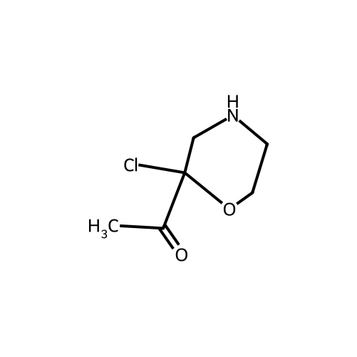 CC(=O)C1(Cl)CNCCO1